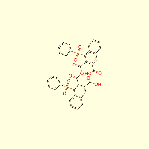 O=C(O)c1cc2ccccc2c(S(=O)(=O)c2ccccc2)c1C(=O)OC(=O)c1c(C(=O)O)cc2ccccc2c1S(=O)(=O)c1ccccc1